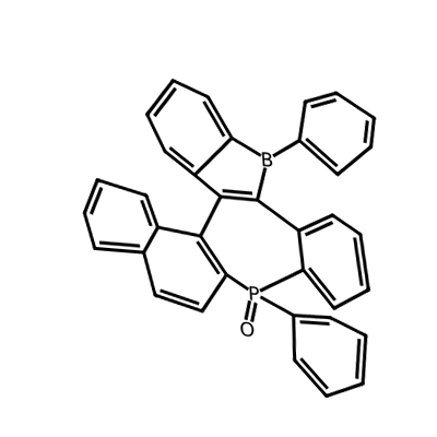 O=P1(c2ccccc2)c2ccccc2C2=C(c3ccccc3B2c2ccccc2)c2c1ccc1ccccc21